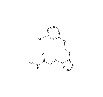 O=C(C=Cc1cccn1CCOc1cccc(Cl)c1)NO